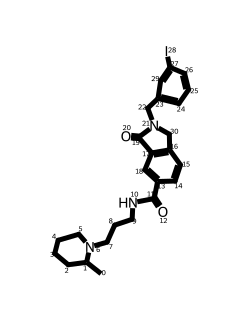 CC1CCCCN1CCCNC(=O)c1ccc2c(c1)C(=O)N(Cc1cccc(I)c1)C2